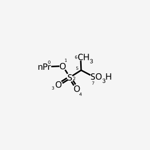 CCCOS(=O)(=O)C(C)S(=O)(=O)O